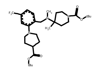 CN(Cc1ccc(C(F)(F)F)cc1N1CCC(C(=O)OC(C)(C)C)CC1)C1(C)CCN(C(=O)OC(C)(C)C)CC1